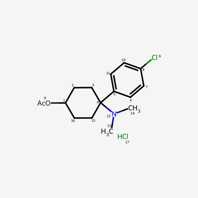 CC(=O)OC1CCC(c2ccc(Cl)cc2)(N(C)C)CC1.Cl